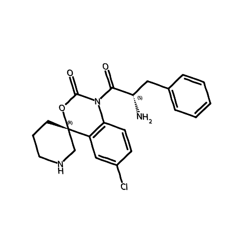 N[C@@H](Cc1ccccc1)C(=O)N1C(=O)O[C@]2(CCCNC2)c2cc(Cl)ccc21